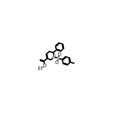 C=C(OCC)C1=CCC(c2ccccc2)N(S(=O)(=O)c2ccc(C)cc2)C1